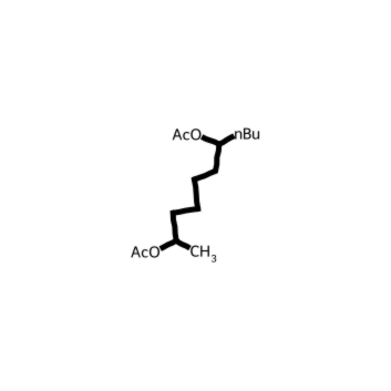 CCCCC(CCCCC(C)OC(C)=O)OC(C)=O